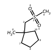 CC1(CS(C)(=O)=O)CCCC1